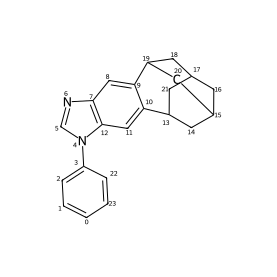 c1ccc(-n2cnc3cc4c(cc32)C2CC3CC(CC4C3)C2)cc1